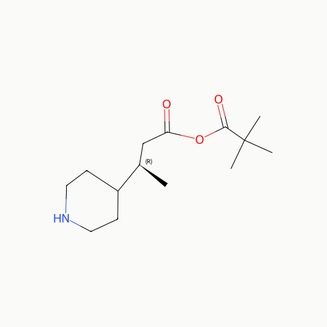 C[C@H](CC(=O)OC(=O)C(C)(C)C)C1CCNCC1